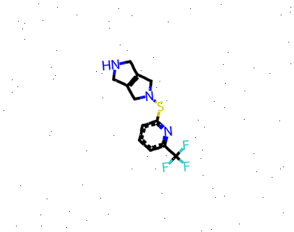 FC(F)(F)c1cccc(SN2CC3=C(CNC3)C2)n1